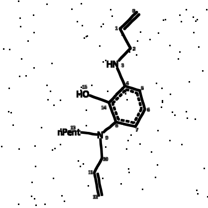 C=CCNc1cccc(N(CC=C)CCCCC)c1O